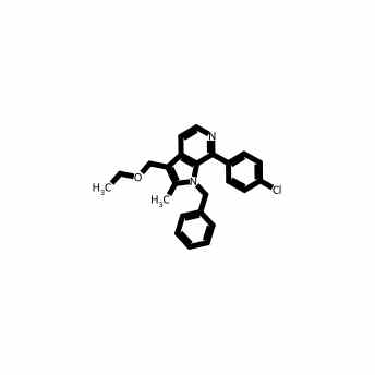 CCOCc1c(C)n(Cc2ccccc2)c2c(-c3ccc(Cl)cc3)nccc12